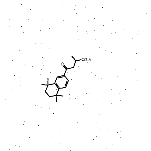 CC(CC(=O)c1ccc2c(c1)C(C)(C)CCC2(C)C)C(=O)O